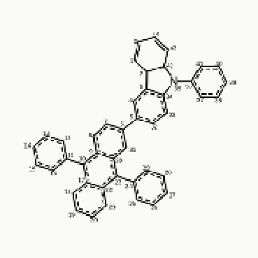 C1=CC2c3cc(-c4ccc5c(-c6ccccc6)c6ccccc6c(-c6ccccc6)c5c4)ccc3N(c3ccccc3)C2C=C1